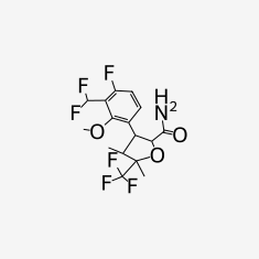 COc1c(C2C(C(N)=O)OC(C)(C(F)(F)F)C2C)ccc(F)c1C(F)F